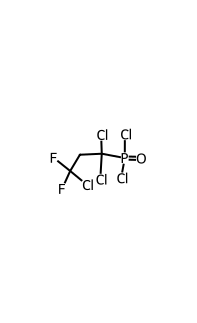 O=P(Cl)(Cl)C(Cl)(Cl)CC(F)(F)Cl